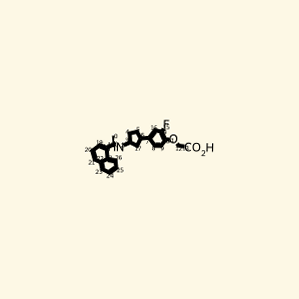 C[C@@H](NC1CCC(c2ccc(OCC(=O)O)c(F)c2)C1)c1cccc2ccccc12